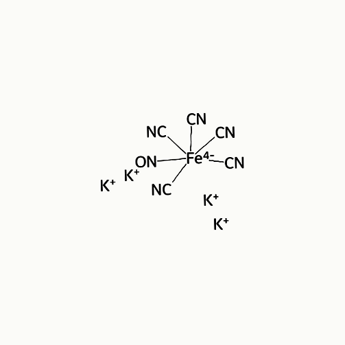 N#[C][Fe-4]([C]#N)([C]#N)([C]#N)([C]#N)[N]=O.[K+].[K+].[K+].[K+]